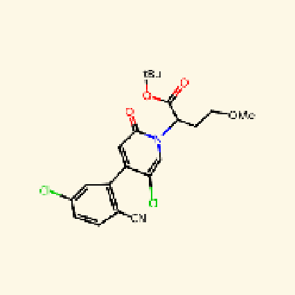 COCCC(C(=O)OC(C)(C)C)n1cc(Cl)c(-c2cc(Cl)ccc2C#N)cc1=O